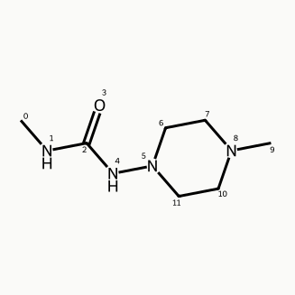 CNC(=O)NN1CCN(C)CC1